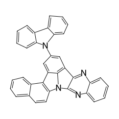 c1ccc2c(c1)ccc1c2c2cc(-n3c4ccccc4c4ccccc43)cc3c4nc5ccccc5nc4n1c32